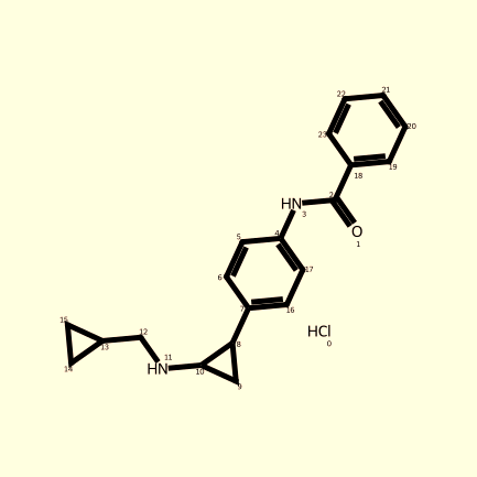 Cl.O=C(Nc1ccc(C2CC2NCC2CC2)cc1)c1ccccc1